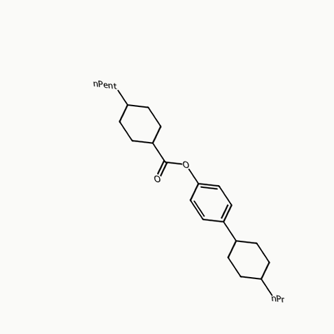 CCCCCC1CCC(C(=O)Oc2ccc(C3CCC(CCC)CC3)cc2)CC1